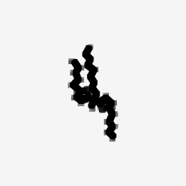 CCCCCCCCCC(C)(c1ccc(CCCCC)o1)c1ccc(CCCCC)o1